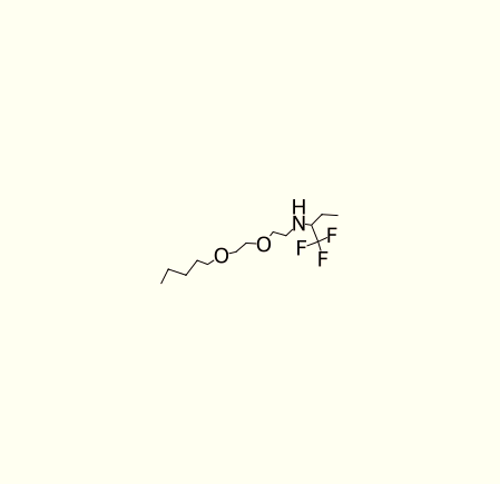 CCCCCOCCOCCNC(CC)C(F)(F)F